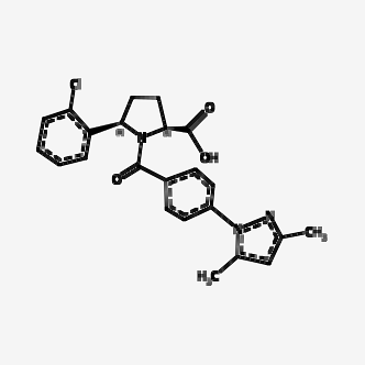 Cc1cc(C)n(-c2ccc(C(=O)N3[C@@H](c4ccccc4Cl)CC[C@H]3C(=O)O)cc2)n1